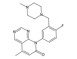 Cc1cc(=O)n(-c2ccc(F)c(CN3CCN(C)CC3)c2)c2ncncc12